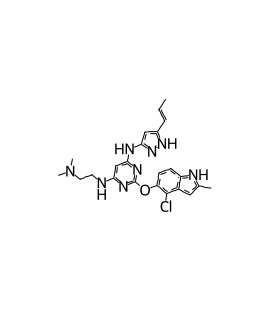 C/C=C/c1cc(Nc2cc(NCCN(C)C)nc(Oc3ccc4[nH]c(C)cc4c3Cl)n2)n[nH]1